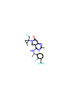 Cc1nc(N[C@H](C)c2cccc(C(F)F)c2F)c2cn(C3(CF)CC3C)c(=O)cc2n1